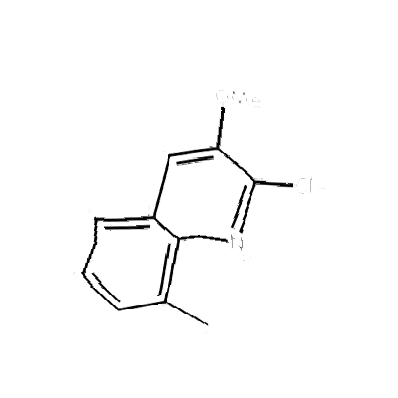 COc1cc2cccc(C)c2nc1Cl